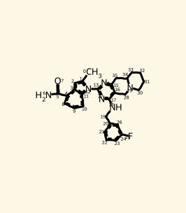 Cc1cc2c(C(N)=O)cccc2n1-c1nc2c(c(NCc3cccc(F)c3)n1)CN1CCCCC1C2